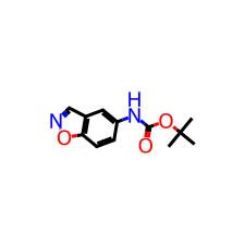 CC(C)(C)OC(=O)Nc1ccc2oncc2c1